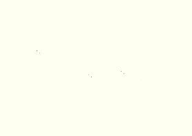 O=C(CF)N=c1ccccn1Cc1ccc(F)nc1